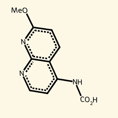 COc1ccc2c(NC(=O)O)ccnc2n1